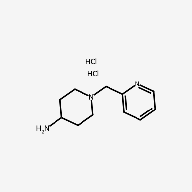 Cl.Cl.NC1CCN(Cc2ccccn2)CC1